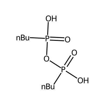 CCCCP(=O)(O)OP(=O)(O)CCCC